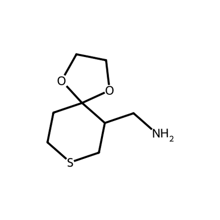 NCC1CSCCC12OCCO2